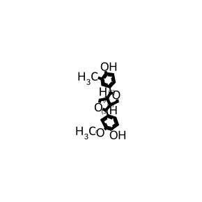 COc1cc([C@H]2OC[C@H]3[C@@H]2CO[C@@H]3c2ccc(O)c(C)c2)ccc1O